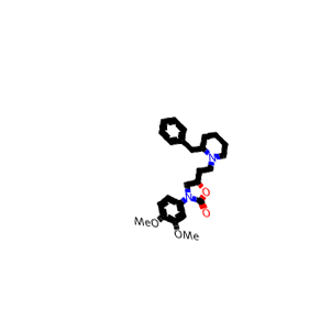 COc1ccc(N2CC(CCN3CCCCC3Cc3ccccc3)OC2=O)cc1OC